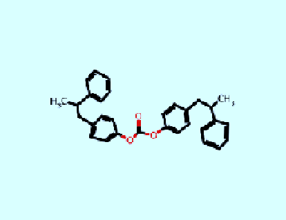 CC(Cc1ccc(OC(=O)Oc2ccc(CC(C)c3ccccc3)cc2)cc1)c1ccccc1